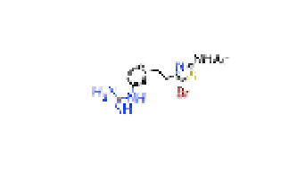 CC(=O)Nc1nc(CCc2cccc(NC(=N)N)c2)c(Br)s1